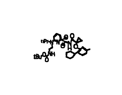 CCCN(CCNC(=O)OC(C)(C)C)c1cccc(S(=O)(=O)NC(=O)C2(Oc3cc(C)ccc3C3CCCCC3)CC2)n1